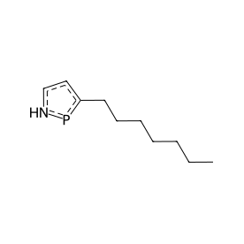 CCCCCCCc1cc[nH]p1